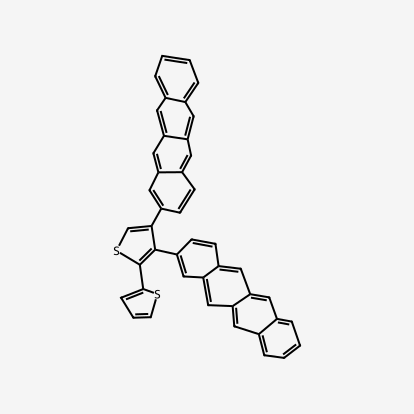 c1csc(-c2scc(-c3ccc4cc5cc6ccccc6cc5cc4c3)c2-c2ccc3cc4cc5ccccc5cc4cc3c2)c1